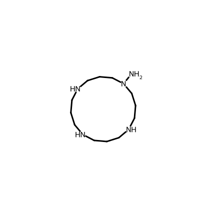 NN1CCCNCCCNCCCNCCC1